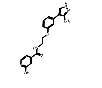 Cc1n[nH]cc1-c1c[c]cc(OCCNC(=O)c2ccnc(O)c2)c1